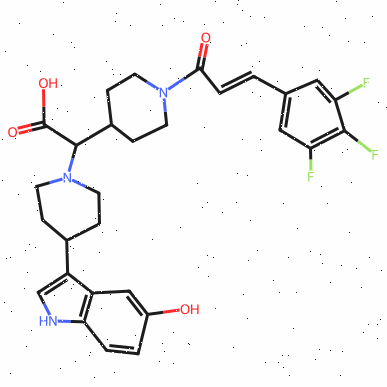 O=C(O)C(C1CCN(C(=O)/C=C/c2cc(F)c(F)c(F)c2)CC1)N1CCC(c2c[nH]c3ccc(O)cc23)CC1